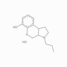 CCCN1CCC2c3cccc(O)c3OCC21.Cl